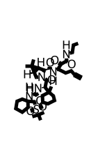 C#CCCC(NC(=O)[C@@H]1[C@@H]2[C@H](CN1C(=O)[C@@H](NC(=O)NC1(CS(=O)(=O)C(C)(C)C)CCCCC1)C1(C)CCCCC1)C2(C)C)C(=O)C(=O)NCCC